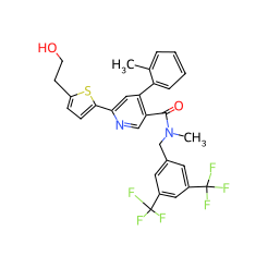 Cc1ccccc1-c1cc(-c2ccc(CCO)s2)ncc1C(=O)N(C)Cc1cc(C(F)(F)F)cc(C(F)(F)F)c1